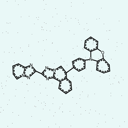 c1ccc2c(c1)Oc1ccccc1N2c1ccc(-c2cn3nc(-c4nc5ccccn5n4)nc3c3ccccc23)cc1